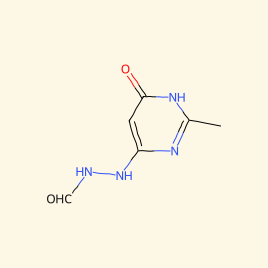 Cc1nc(NNC=O)cc(=O)[nH]1